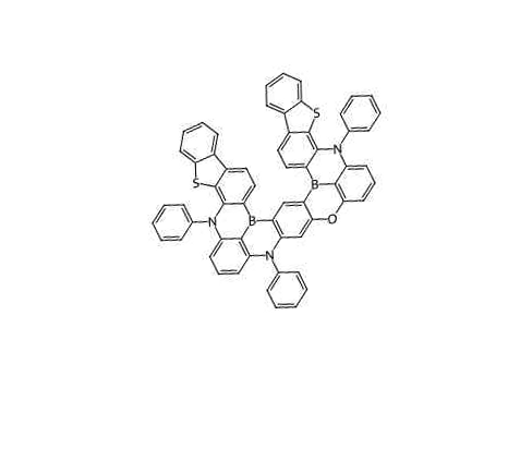 c1ccc(N2c3cc4c(cc3B3c5ccc6c(sc7ccccc76)c5N(c5ccccc5)c5cccc2c53)B2c3ccc5c(sc6ccccc65)c3N(c3ccccc3)c3cccc(c32)O4)cc1